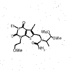 CCn1c(=O)c2c(C)c(CN(C(N)=O)C(C)C(OC)OC)sc2n(CCOC)c1=O